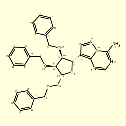 Nc1ncnc2c([C@@H]3O[C@H](COCc4ccccc4)[C@@H](OCc4ccccc4)[C@H]3OCc3ccccc3)cnn12